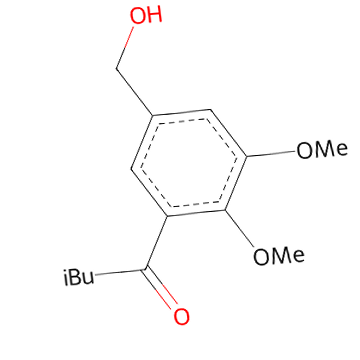 CCC(C)C(=O)c1cc(CO)cc(OC)c1OC